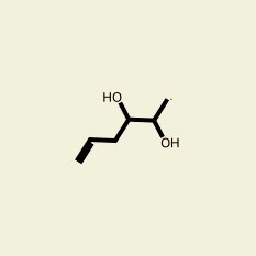 [CH2]C(O)C(O)CC=C